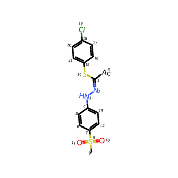 CC(=O)C(=NNc1ccc(S(C)(=O)=O)cc1)Sc1ccc(Cl)cc1